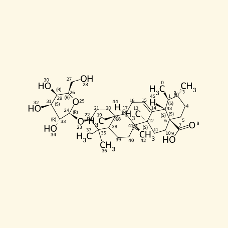 C[C@H]1[C@H](C)CC[C@]2(C(=O)O)CC[C@]3(C)C(=CC[C@@H]4[C@@]5(C)CC[C@H](O[C@@H]6O[C@H](CO)[C@H](O)[C@H](O)[C@H]6O)C(C)(C)C5CC[C@]43C)[C@H]12